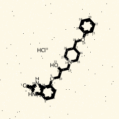 Cl.O=c1[nH]c2cccc(OCC(O)CN3CCC(COc4ccccc4)CC3)c2[nH]1